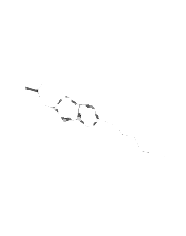 CCCCCc1cc2sc(OC(=O)Cl)cc2s1